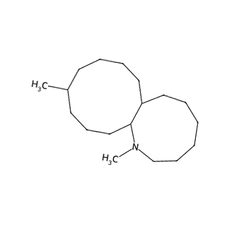 CC1CCCCC2CCCCCCN(C)C2CCC1